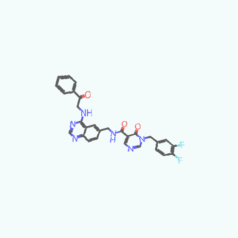 O=C(CNc1ncnc2ccc(CNC(=O)c3cncn(Cc4ccc(F)c(F)c4)c3=O)cc12)c1ccccc1